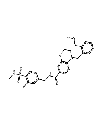 CNS(=O)(=O)c1ccc(CNC(=O)c2cnc3c(c2)OCCN3Cc2ccccc2COC)cc1F